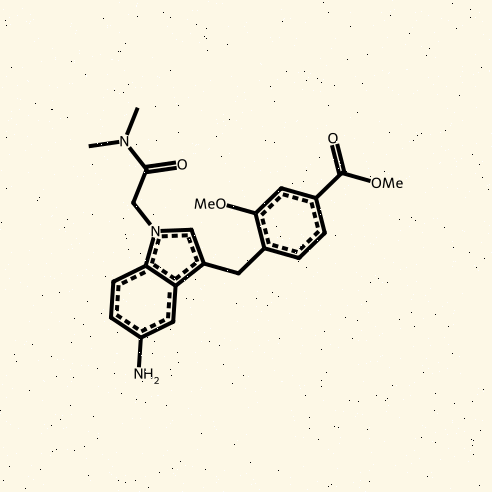 COC(=O)c1ccc(Cc2cn(CC(=O)N(C)C)c3ccc(N)cc23)c(OC)c1